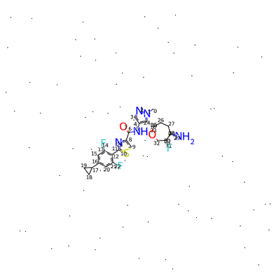 Cn1ncc(NC(=O)c2csc(-c3c(F)cc(C4CC4)cc3F)n2)c1[C@@H]1CC[C@@H](N)[C@H](F)CO1